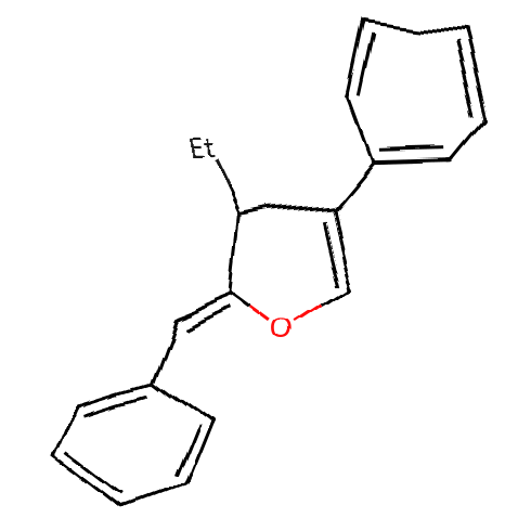 CCC1C(=Cc2ccccc2)OC=C1c1ccccc1